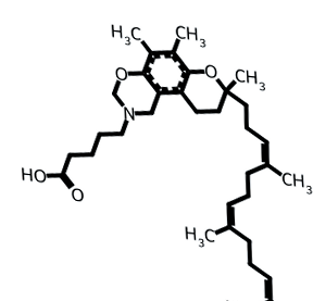 CC(C)=CCCC(C)=CCCC(C)=CCCC1(C)CCc2c3c(c(C)c(C)c2O1)OCN(CCCCC(=O)O)C3